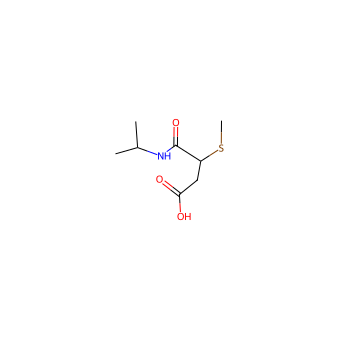 CSC(CC(=O)O)C(=O)NC(C)C